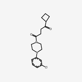 O=C(CCC(=O)N1CCN(c2cccc(Cl)c2)CC1)C1CCC1